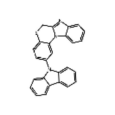 c1ccc2c(c1)nc1n2-c2cc(-n3c4ccccc4c4ccccc43)ccc2SC1